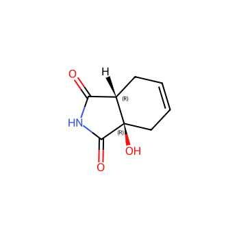 O=C1NC(=O)[C@@]2(O)CC=CC[C@@H]12